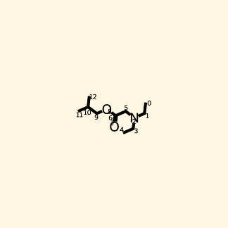 CCN(CC)CC(=O)OCC(C)C